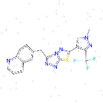 Cn1cc(-c2nn3c(Cc4ccc5ncccc5c4)nnc3s2)c(C(F)(F)F)n1